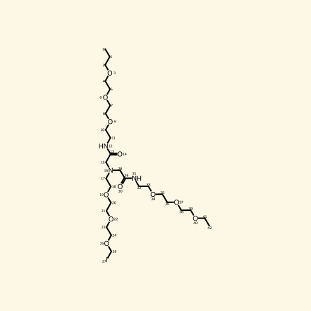 CCCOCCOCCOCCNC(=O)CN(CCOCCOCCOCI)CC(=O)NCCOCCOCCOCC